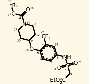 CCOC(=O)CS(=O)(=O)Nc1ccc(OC2CCN(C(=O)OC(C)(C)C)CC2)c(C(F)(F)F)c1